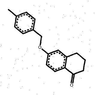 Cc1ccc(COc2ccc3c(c2)CCCC3=O)cc1